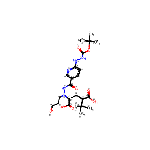 CC(C)(C)OC(=O)NNc1ccc(C(=O)NN(CCCO)[C@@H](CC(C(=O)O)C(C)(C)C)C(=O)O)cn1